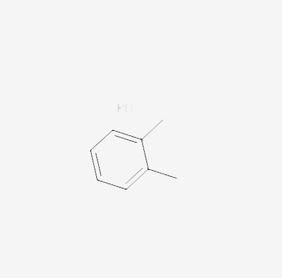 Cc1ccccc1C.P